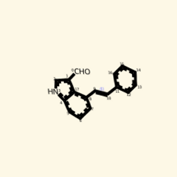 O=Cc1c[nH]c2cccc(/C=C/c3ccccc3)c12